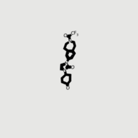 O=C1CCC(n2ccn(-c3ccc4c(c3)CCN(C(=O)C(F)(F)F)CC4)c2=O)CC1